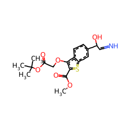 COC(=O)c1sc2cc(C(O)C=N)ccc2c1OCC(=O)OC(C)(C)C